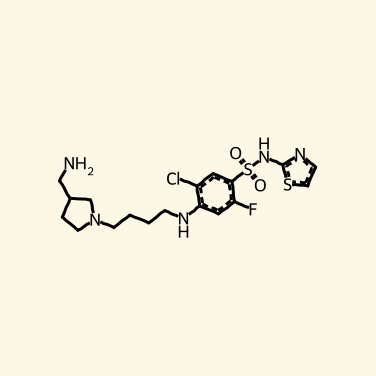 NCC1CCN(CCCCNc2cc(F)c(S(=O)(=O)Nc3nccs3)cc2Cl)C1